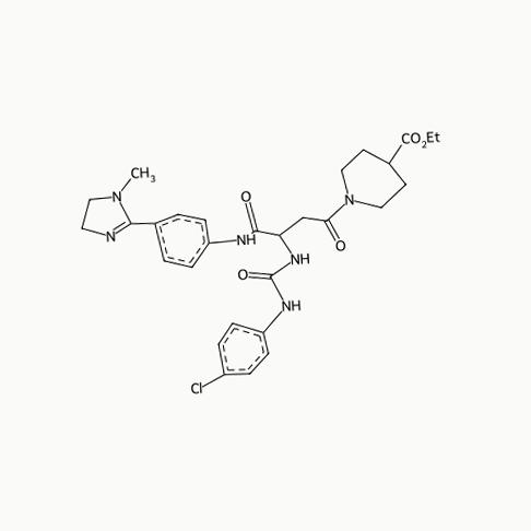 CCOC(=O)C1CCN(C(=O)CC(NC(=O)Nc2ccc(Cl)cc2)C(=O)Nc2ccc(C3=NCCN3C)cc2)CC1